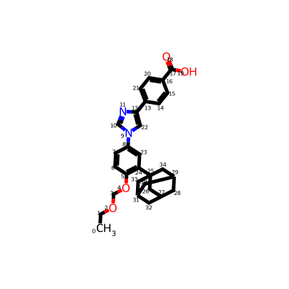 CCOCOc1ccc(-n2cnc(-c3ccc(C(=O)O)cc3)c2)cc1C12CC3CC(CC(C3)C1)C2